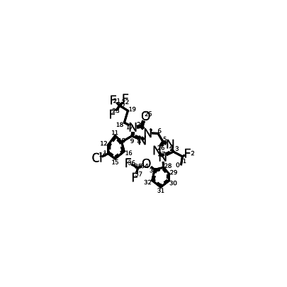 CC(F)c1nc(Cn2nc(-c3ccc(Cl)cc3)n(CCC(F)(F)F)c2=O)nn1-c1ccccc1OC(F)F